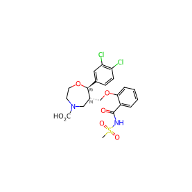 CS(=O)(=O)NC(=O)c1ccccc1OC[C@@H]1CN(C(=O)O)CCO[C@H]1c1ccc(Cl)c(Cl)c1